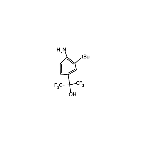 CC(C)(C)c1cc(C(O)(C(F)(F)F)C(F)(F)F)ccc1N